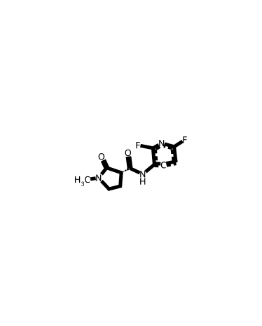 CN1CC[C@@H](C(=O)Nc2ccc(F)nc2F)C1=O